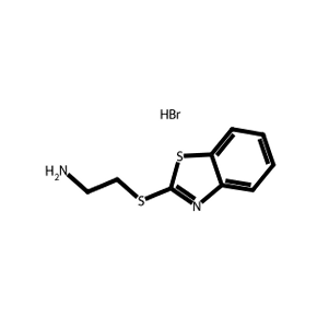 Br.NCCSc1nc2ccccc2s1